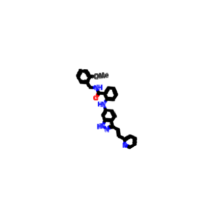 COc1ccccc1CNC(=O)c1ccccc1Nc1ccc2c(C=Cc3ccccn3)n[nH]c2c1